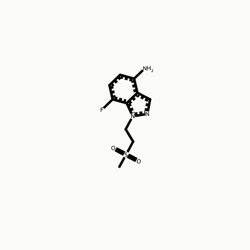 CS(=O)(=O)CCn1ncc2c(N)ccc(F)c21